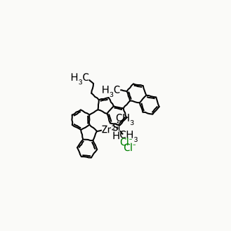 CCCC1=Cc2c(-c3c(C)ccc4ccccc34)cccc2C1c1cccc2c1[CH]([Zr+2][SiH](C)C)c1ccccc1-2.[Cl-].[Cl-]